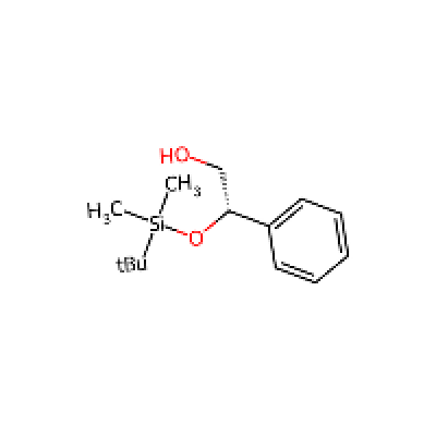 CC(C)(C)[Si](C)(C)O[C@H](CO)c1ccccc1